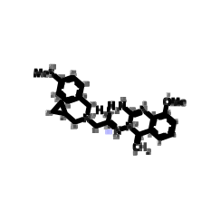 C=C1c2cccc(OC)c2N=C(N)N1/N=C(\C)CN(Cc1ccc(SC)cc1)CC1CC1